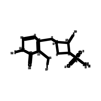 NS(=O)(=O)C1CN(Cc2ccn(I)c(=O)c2CI)C1I